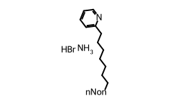 Br.CCCCCCCCCCCCCCCCc1ccccn1.N